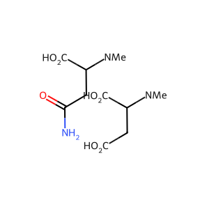 CNC(CC(=O)O)C(=O)O.CNC(CC(N)=O)C(=O)O